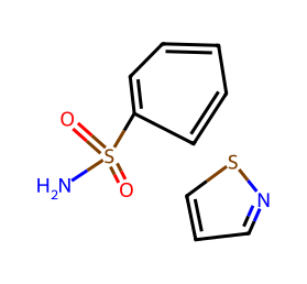 NS(=O)(=O)c1ccccc1.c1cnsc1